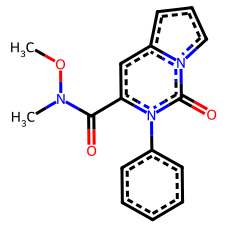 CON(C)C(=O)c1cc2cccn2c(=O)n1-c1ccccc1